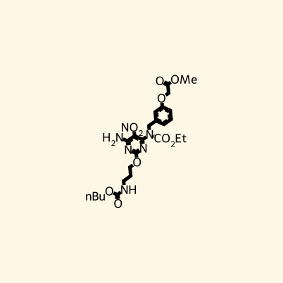 CCCCOC(=O)NCCCOc1nc(N)c([N+](=O)[O-])c(N(Cc2cccc(OCC(=O)OC)c2)C(=O)OCC)n1